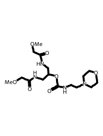 COCC(=O)NCC(CNC(=O)COC)OC(=O)NCCN1CCOCC1